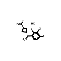 Cl.NC(c1ccc(F)c(Cl)c1F)[C@H]1C[C@H](C(F)F)C1